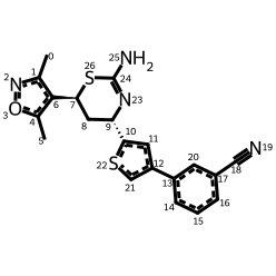 Cc1noc(C)c1[C@@H]1C[C@@H](c2cc(-c3cccc(C#N)c3)cs2)N=C(N)S1